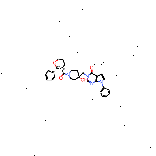 O=C([C@@H]1CCCO[C@H]1c1ccccc1)N1CCC(O)(Cn2cnc3c(ccn3-c3ccccc3)c2=O)CC1